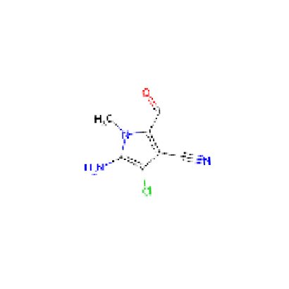 Cn1c(N)c(Cl)c(C#N)c1C=O